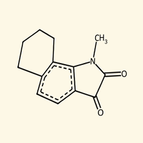 CN1C(=O)C(=O)c2ccc3c(c21)CCCC3